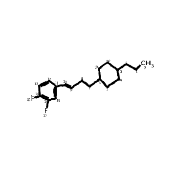 CCCC1CCC(CCC=Cc2ccc(F)c(F)c2)CC1